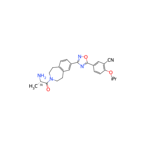 CC(C)Oc1ccc(-c2nc(-c3ccc4c(c3)CCN(C(=O)[C@H](C)N)CC4)no2)cc1C#N